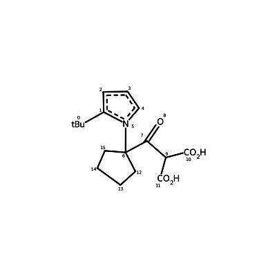 CC(C)(C)c1cccn1C1(C(=O)C(C(=O)O)C(=O)O)CCCC1